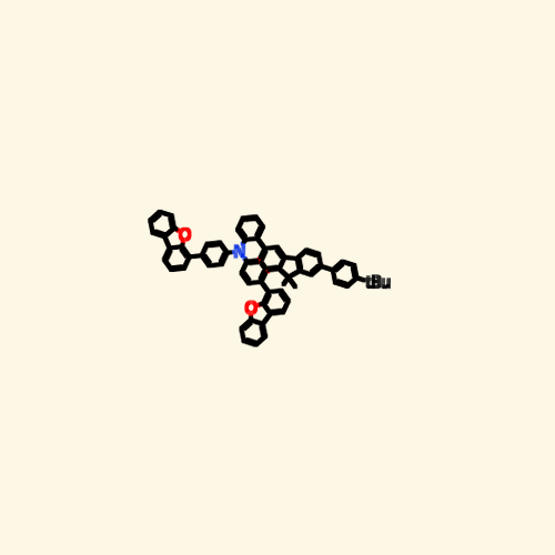 CC(C)(C)c1ccc(-c2ccc3c(c2)C(C)(C)c2ccc(-c4ccccc4N(c4ccc(-c5cccc6c5oc5ccccc56)cc4)c4ccc(-c5cccc6c5oc5ccccc56)cc4)cc2-3)cc1